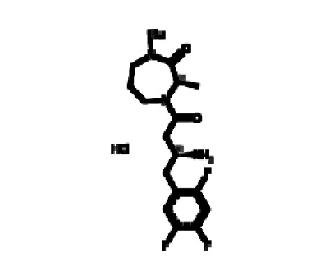 C[C@@H]1C(=O)N(C(C)(C)C)CCCN1C(=O)C[C@H](N)Cc1cc(F)c(F)cc1F.Cl